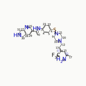 C=C(Nc1ccc(SN2CCN(C/C=C(\C=C(\C)N)C(F)(F)F)CC2)cc1)c1cnc2c(c1)CNC2